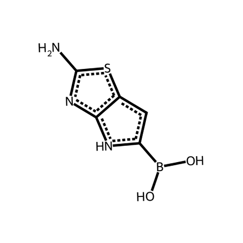 Nc1nc2[nH]c(B(O)O)cc2s1